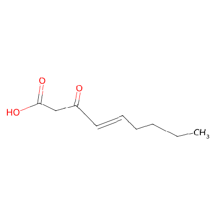 CCCCC=CC(=O)CC(=O)O